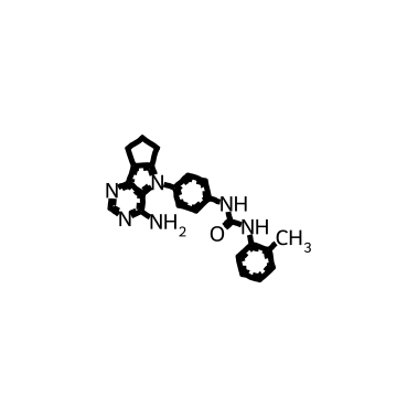 Cc1ccccc1NC(=O)Nc1ccc(-n2c3c(c4ncnc(N)c42)CCC3)cc1